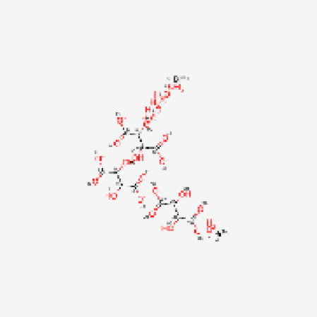 O.O.O.O.O.O.O=C([O-])C(O)C(O)C(=O)[O-].O=C([O-])C(O)C(O)C(=O)[O-].O=C([O-])C(O)C(O)C(=O)[O-].[Bi+3].[Bi+3]